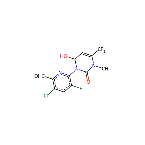 CN1C(=O)N(c2nc(C=O)c(Cl)cc2F)C(O)C=C1C(F)(F)F